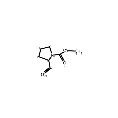 COC(=O)N1CCCC1C=O